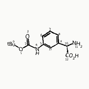 CC(C)(C)OC(=O)Nc1cccc([C@@H](N)C(=O)O)c1